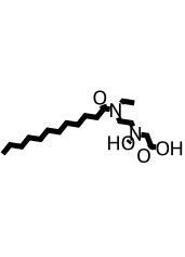 CCCCCCCCCCCC(=O)N(CC)CCN(O)CC(=O)O